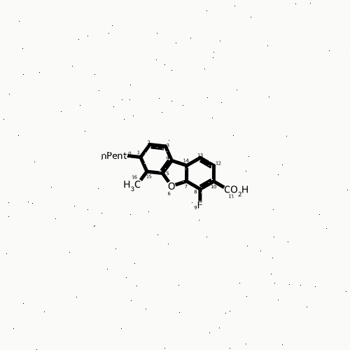 CCCCCC1C=CC2=C(OC3C(F)=C(C(=O)O)C=CC23)C1C